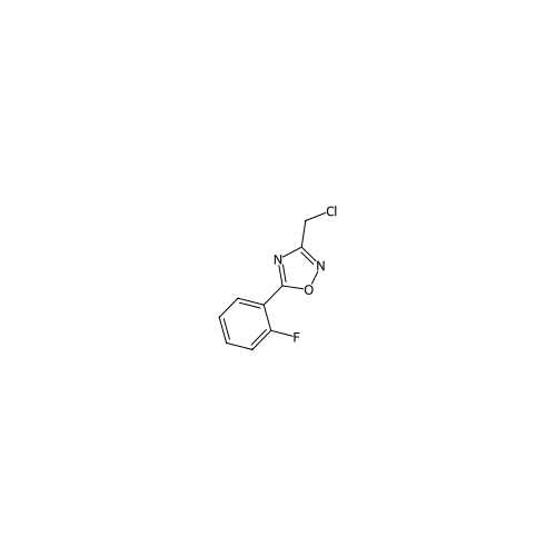 Fc1ccccc1-c1nc(CCl)no1